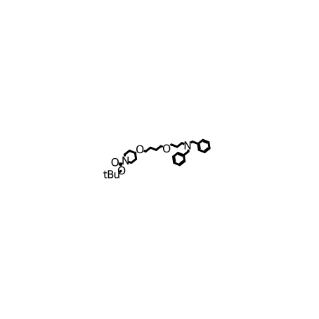 CC(C)(C)OC(=O)N1CCC(OCCCCOCCCN(Cc2ccccc2)Cc2ccccc2)CC1